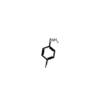 Fc1ccc([AsH2])cc1